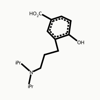 CC(C)N(CCCc1cc(C(=O)O)ccc1O)C(C)C